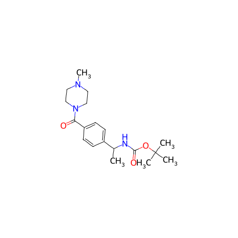 CC(NC(=O)OC(C)(C)C)c1ccc(C(=O)N2CCN(C)CC2)cc1